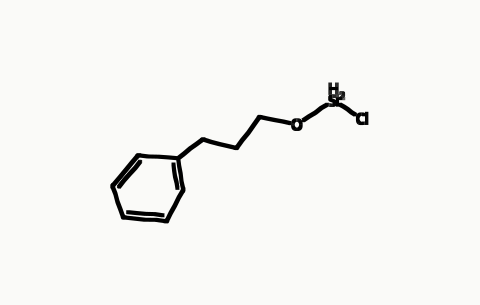 Cl[SiH2]OCCCc1ccccc1